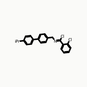 CC(C)c1ccc(-c2ccc(C/N=C(\Cl)c3ccccc3Cl)cc2)cc1